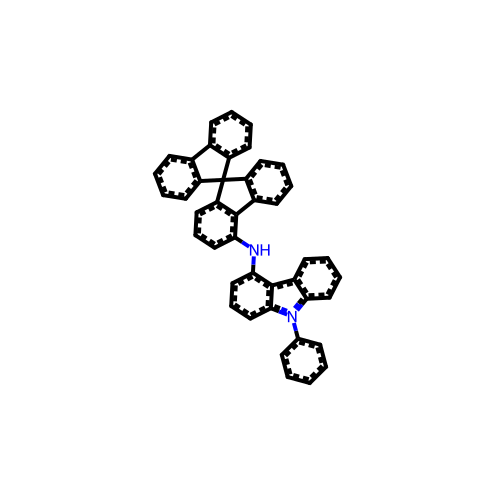 c1ccc(-n2c3ccccc3c3c(Nc4cccc5c4-c4ccccc4C54c5ccccc5-c5ccccc54)cccc32)cc1